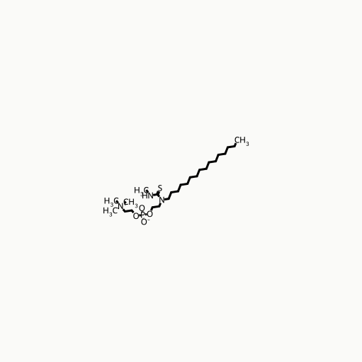 CCCCCCCCCCCCCCCCN(CCOP(=O)([O-])OCC[N+](C)(C)C)C(=S)NC